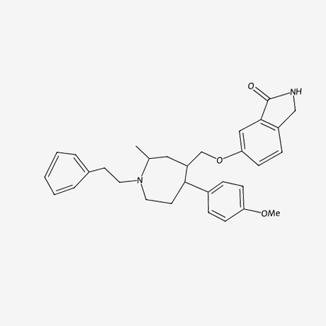 COc1ccc(C2CCN(CCc3ccccc3)C(C)CC2COc2ccc3c(c2)C(=O)NC3)cc1